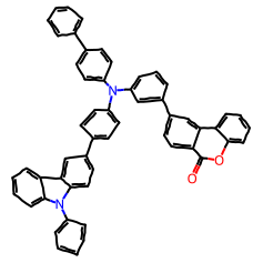 O=c1oc2ccccc2c2cc(-c3cccc(N(c4ccc(-c5ccccc5)cc4)c4ccc(-c5ccc6c(c5)c5ccccc5n6-c5ccccc5)cc4)c3)ccc12